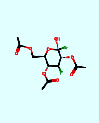 CC(=O)OC[C@H]1O[C@@](O)(Br)[C@H](OC(C)=O)[C@@H](F)[C@@H]1OC(C)=O